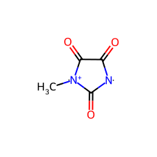 C[N+]1C(=O)[N]C(=O)C1=O